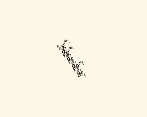 COc1ccc(NC(=O)[C@H](CCCCN)NC(=O)c2cc(NC(=O)[C@H](C)NC(=O)c3cc(NC(=O)[C@H](CCCCN)NC(=O)c4cc(NC(=O)[C@@H](N)CCCCN)ccc4OC)ccc3OC)ccc2OC)cc1C(N)=O